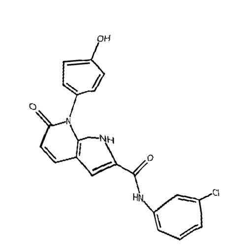 O=C(Nc1cccc(Cl)c1)c1cc2ccc(=O)n(-c3ccc(O)cc3)c2[nH]1